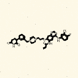 C=CC(=O)Nc1cc2c(Nc3ccc(F)c(Cl)c3)ncnc2cc1OCCCN1CCN(Cc2cccc(C3CCC(=O)NC3=O)c2)CC1